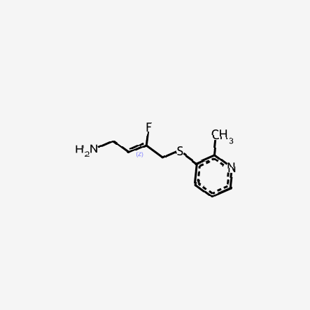 Cc1ncccc1SC/C(F)=C/CN